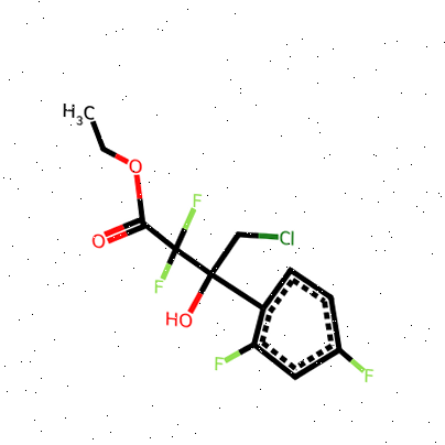 CCOC(=O)C(F)(F)C(O)(CCl)c1ccc(F)cc1F